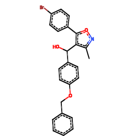 Cc1noc(-c2ccc(Br)cc2)c1C(O)c1ccc(OCc2ccccc2)cc1